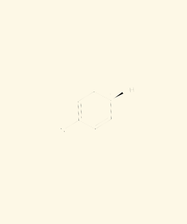 NC1=CC[C@@H](O)C=C1